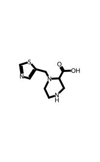 O=C(O)C1CNCCN1Cc1cncs1